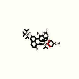 CC(C)[Si](C#Cc1c(F)ccc2cc(O[Si](C(C)C)(C(C)C)C(C)C)cc(-c3c(F)cc4c(N5CCCC(O)C5)nc(F)nc4c3F)c12)(C(C)C)C(C)C